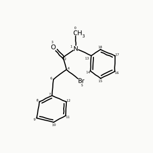 CN(C(=O)C(Br)Cc1ccccc1)c1ccccc1